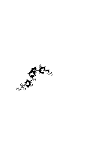 CCN1CC[C@@H](n2ccc3cnc(N[C@@H]4CCN(S(C)(=O)=O)C[C@H]4F)nc32)[C@@H](F)C1